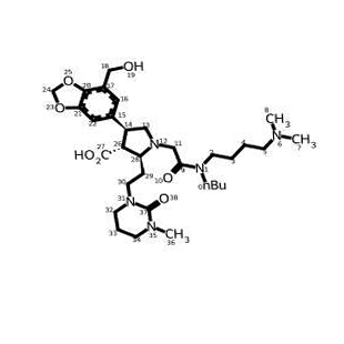 CCCCN(CCCCN(C)C)C(=O)CN1C[C@H](c2cc(CO)c3c(c2)OCO3)[C@@H](C(=O)O)[C@@H]1CCN1CCCN(C)C1=O